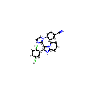 N#Cc1ccc(-n2ccnc2-c2c(-c3cc(Cl)ccc3Cl)nc3ccccn23)cc1